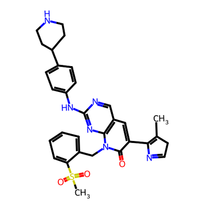 CC1=C(c2cc3cnc(Nc4ccc(C5CCNCC5)cc4)nc3n(Cc3ccccc3S(C)(=O)=O)c2=O)N=CC1